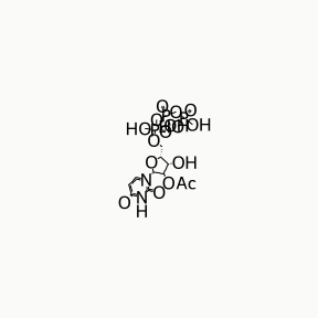 CC(=O)O[C@@H]1[C@@H](O)[C@@H](COP(=O)(O)OP(=O)(O)OP(=O)(O)O)O[C@H]1n1ccc(=O)[nH]c1=O